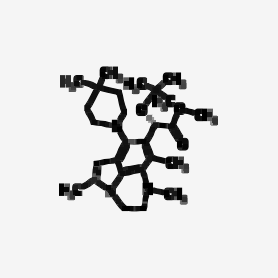 COC(=O)[C@@H](OC(C)(C)C)c1c(C)c2c3c(cc(C)n3CCN2C)c1N1CCC(C)(C)CC1